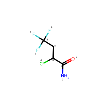 NC(=O)C(Cl)CC(F)(F)F